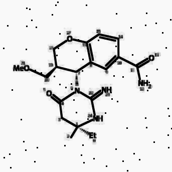 CC[C@]1(C)CC(=O)N([C@H]2c3cc(C(N)=O)ccc3OC[C@@H]2COC)C(=N)N1